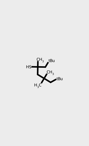 CC(C)(C)CC(C)(C)CC(C)(S)CC(C)(C)C